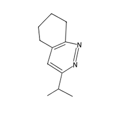 CC(C)c1cc2c(nn1)CCCC2